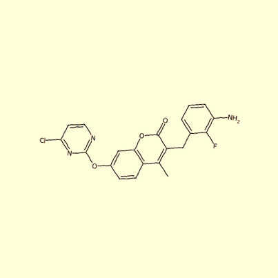 Cc1c(Cc2cccc(N)c2F)c(=O)oc2cc(Oc3nccc(Cl)n3)ccc12